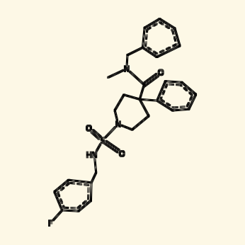 CN(Cc1ccccc1)C(=O)C1(c2ccccc2)CCN(S(=O)(=O)NCc2ccc(F)cc2)CC1